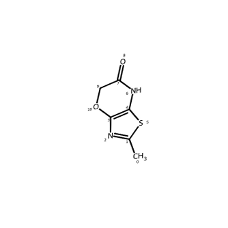 Cc1nc2c(s1)NC(=O)CO2